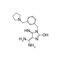 N=C1C(=C(N)N)N=C(O)N1Cc1cccc(CN2CCCC2)c1